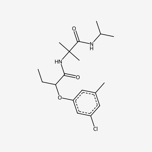 CCC(Oc1cc(C)cc(Cl)c1)C(=O)NC(C)(C)C(=O)NC(C)C